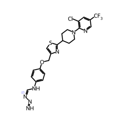 N=N/N=C\Nc1ccc(OCc2csc(C3CCN(c4ncc(C(F)(F)F)cc4Cl)CC3)n2)cc1